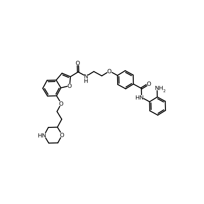 Nc1ccccc1NC(=O)c1ccc(OCCNC(=O)c2cc3cccc(OCCC4CNCCO4)c3o2)cc1